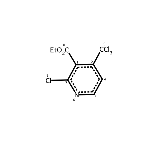 CCOC(=O)c1c(C(Cl)(Cl)Cl)ccnc1Cl